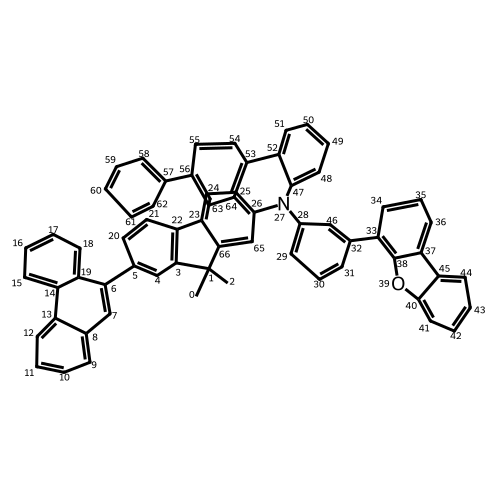 CC1(C)c2cc(-c3cc4ccccc4c4ccccc34)ccc2-c2ccc(N(c3cccc(-c4cccc5c4oc4ccccc45)c3)c3ccccc3-c3ccc(-c4ccccc4)cc3)cc21